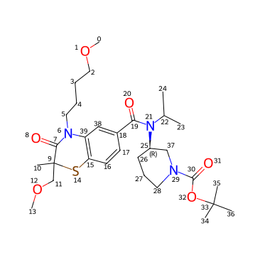 COCCCCN1C(=O)C(C)(COC)Sc2ccc(C(=O)N(C(C)C)[C@@H]3CCCN(C(=O)OC(C)(C)C)C3)cc21